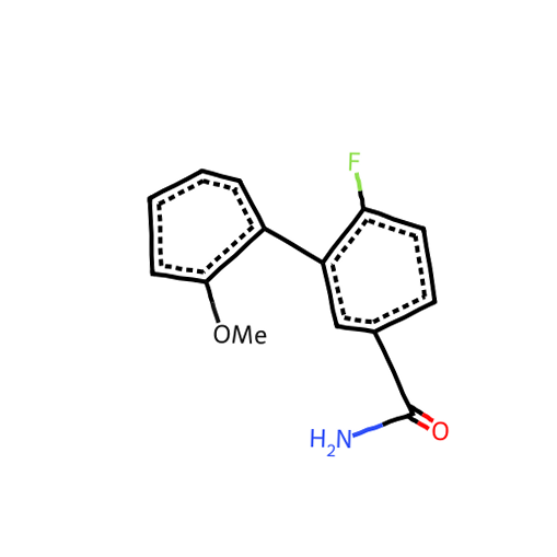 COc1ccccc1-c1cc(C(N)=O)ccc1F